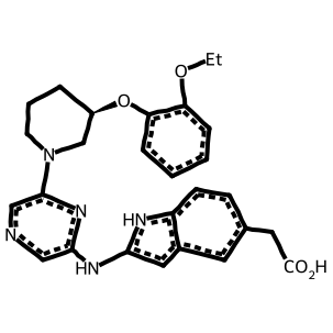 CCOc1ccccc1O[C@@H]1CCCN(c2cncc(Nc3cc4cc(CC(=O)O)ccc4[nH]3)n2)C1